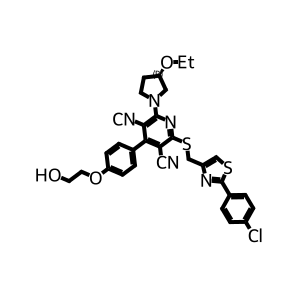 [C-]#[N+]c1c(N2CC[C@@H](OCC)C2)nc(SCc2csc(-c3ccc(Cl)cc3)n2)c(C#N)c1-c1ccc(OCCO)cc1